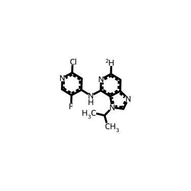 [2H]c1cc2ncn(C(C)C)c2c(Nc2cc(Cl)ncc2F)n1